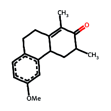 COc1ccc2c(c1)C1CC(C)C(=O)C(C)=C1CC2